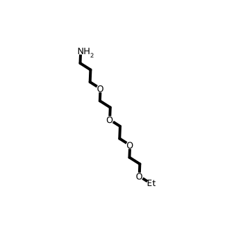 CCOCCOCCOCCOCCCN